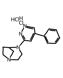 Cl.Cl.c1ccc(-c2cnnc(N3CCN4CCC3C4)c2)cc1